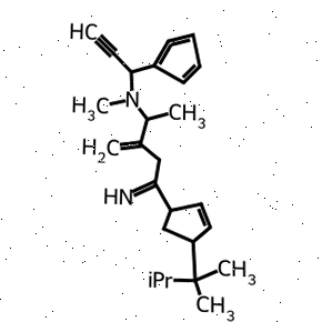 C#CC(C1=C=CC=C1)N(C)C(C)C(=C)CC(=N)C1C=CC(C(C)(C)C(C)C)C1